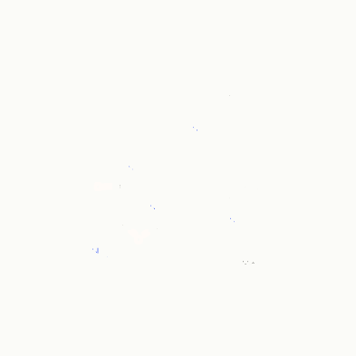 C=C/C=N\C(=C/C)CC1CCN(C(=O)c2nc(-c3ccc(OC)c4nc(C(F)(F)F)ccc34)oc2CN)CC1